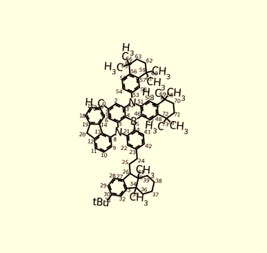 Cc1cc2c3c(c1)N(c1cccc4c1-c1ccccc1C4)c1cc(CCC4c5ccc(C(C)(C)C)cc5C5(C)CCCCC45C)ccc1B3c1cc3c(cc1N2c1ccc2c(c1)C(C)(C)CCC2(C)C)C(C)(C)CCC3(C)C